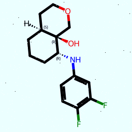 O[C@]12COCC[C@@H]1CCC[C@H]2Nc1ccc(F)c(F)c1